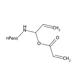 C=CC(=O)OC(C=C)NCCCCC